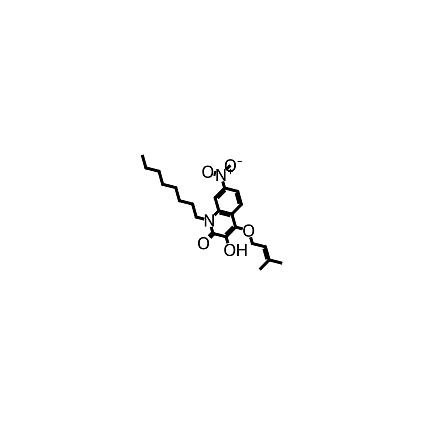 CCCCCCCCn1c(=O)c(O)c(OCC=C(C)C)c2ccc([N+](=O)[O-])cc21